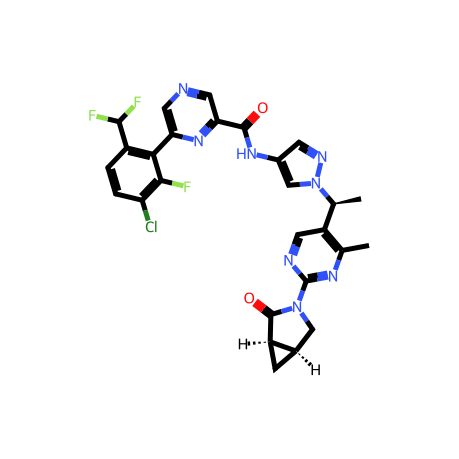 Cc1nc(N2C[C@H]3C[C@H]3C2=O)ncc1[C@H](C)n1cc(NC(=O)c2cncc(-c3c(C(F)F)ccc(Cl)c3F)n2)cn1